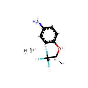 C[C@@H](Oc1ccc(N)cc1)C(F)(F)F.[H-].[Na+]